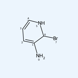 NC1=CC=[C]NC1Br